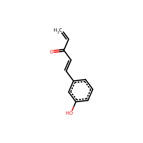 C=CC(=O)C=Cc1cccc(O)c1